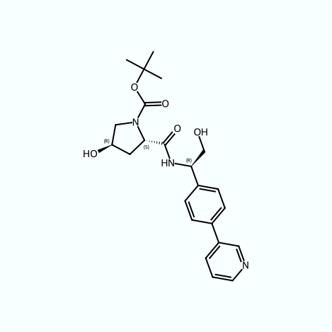 CC(C)(C)OC(=O)N1C[C@H](O)C[C@H]1C(=O)N[C@@H](CO)c1ccc(-c2cccnc2)cc1